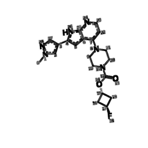 Cn1cc(-c2cc3c(N4CCN(C(=O)O[C@H]5C[C@H](F)C5)CC4)ccnc3[nH]2)cn1